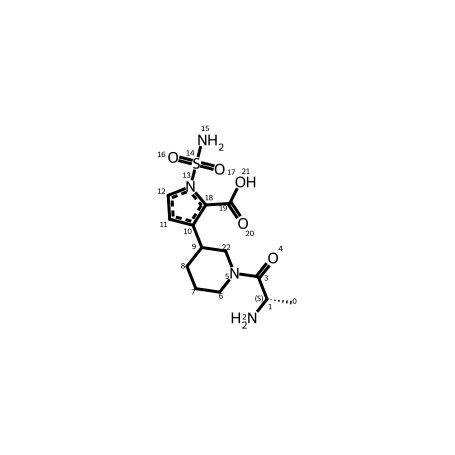 C[C@H](N)C(=O)N1CCCC(c2ccn(S(N)(=O)=O)c2C(=O)O)C1